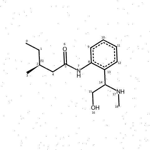 CC[C@H](C)CC(=O)Nc1ccccc1C(CO)NC